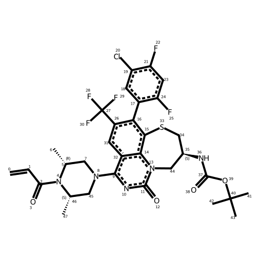 C=CC(=O)N1[C@H](C)CN(c2nc(=O)n3c4c(c(-c5cc(Cl)c(F)cc5F)c(C(F)(F)F)cc24)SC[C@@H](NC(=O)OC(C)(C)C)C3)C[C@@H]1C